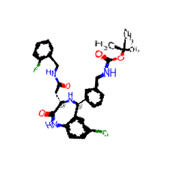 CC(C)(C)OC(=O)NCc1cccc([C@@H]2N[C@@H](CC(=O)NCc3ccccc3F)C(=O)Nc3ccc(Cl)cc32)c1